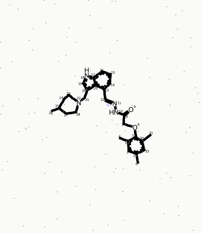 Cc1cc(C)c(OCC(=O)N/N=C/c2cccc3[nH]cc(CN4CCC(C)CC4)c23)c(C)c1